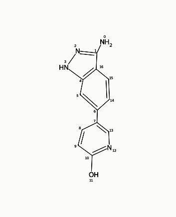 Nc1n[nH]c2cc(-c3ccc(O)nc3)ccc12